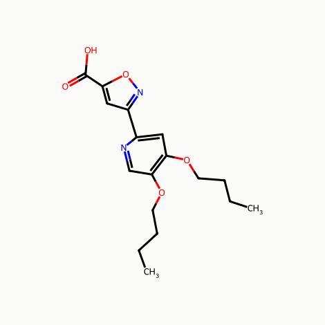 CCCCOc1cnc(-c2cc(C(=O)O)on2)cc1OCCCC